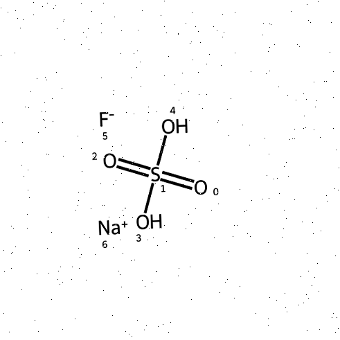 O=S(=O)(O)O.[F-].[Na+]